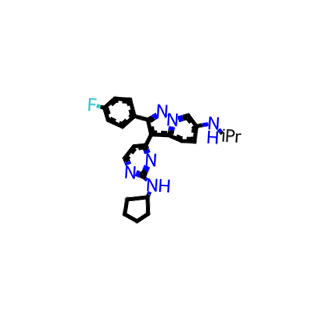 CC(C)Nc1ccc2c(-c3ccnc(NC4CCCC4)n3)c(-c3ccc(F)cc3)nn2c1